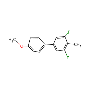 COc1ccc(-c2cc(F)c(C)c(F)c2)cc1